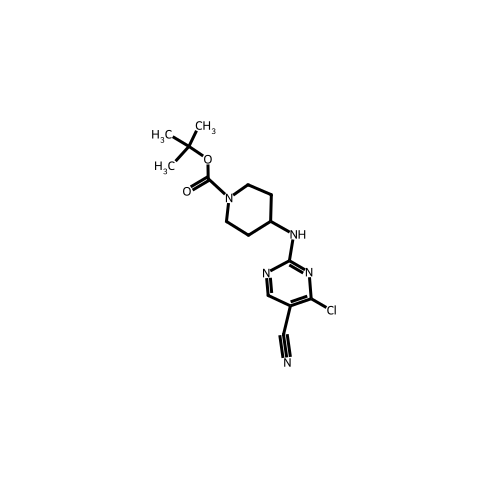 CC(C)(C)OC(=O)N1CCC(Nc2ncc(C#N)c(Cl)n2)CC1